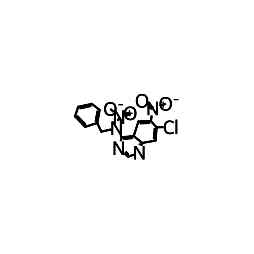 O=[N+]([O-])c1cc2c(N(Cc3ccccc3)[N+](=O)[O-])ncnc2cc1Cl